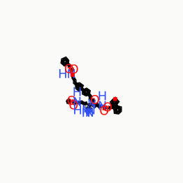 CC(C)(C)OC(=O)NCCCC[C@@H](c1nnn[nH]1)N(CCCNC(=O)OCC1c2ccccc2-c2ccccc21)C(=O)CCc1ccc(-c2ccc(CCCCNC(=O)OCc3ccccc3)cc2)cc1